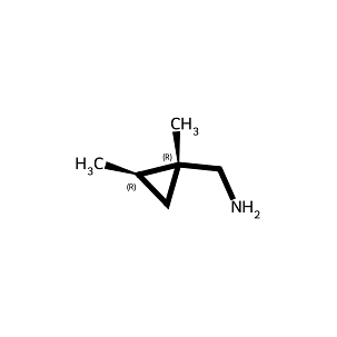 C[C@@H]1C[C@@]1(C)CN